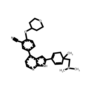 CN(C)CC1(C)C=CC(c2cc3c(-c4ccc(OC5CCOCC5)c(C#N)c4)ccnc3[nH]2)=CC1